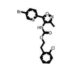 Cc1noc(-c2ccc(Br)cn2)c1NC(=O)OCCc1ccccc1Cl